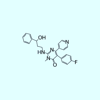 Cn1c(NCCC(O)c2ccccc2)nc(-c2ccncc2)c(-c2ccc(F)cc2)c1=O